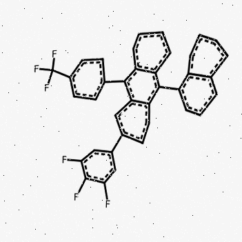 Fc1cc(-c2ccc3c(-c4cccc5ccccc45)c4ccccc4c(-c4ccc(C(F)(F)F)cc4)c3c2)cc(F)c1F